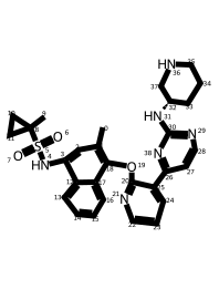 Cc1cc(NS(=O)(=O)C2(C)CC2)c2ccccc2c1Oc1ncccc1-c1ccnc(N[C@H]2CCCNC2)n1